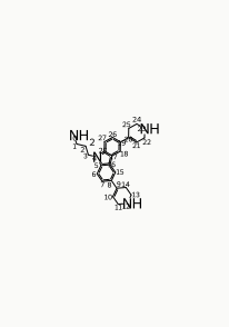 NCCCn1c2ccc(C3=CCNCC3)cc2c2cc(C3=CCNCC3)ccc21